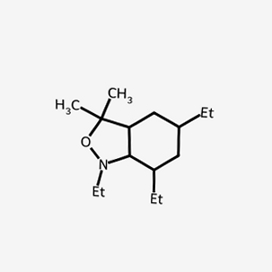 CCC1CC(CC)C2C(C1)C(C)(C)ON2CC